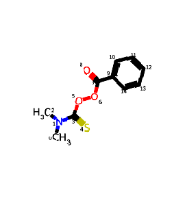 CN(C)C(=S)OOC(=O)c1ccccc1